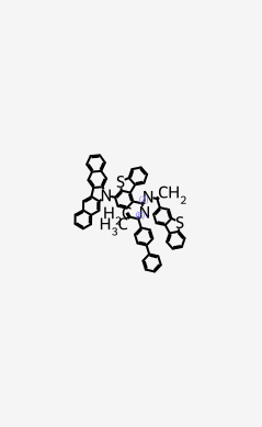 C=C(C)/C(=N\C(=N/C(=C)c1ccc2c(c1)sc1ccccc12)c1ccc(-n2c3cc4ccccc4cc3c3cc4ccccc4cc32)c2sc3ccccc3c12)c1ccc(-c2ccccc2)cc1